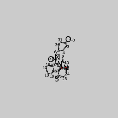 COc1ccc(CN2Cc3cncn3C(c3ccccc3C3=CC=CCC3=S)C2=O)cc1